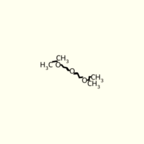 CCC(C)OCCC=COC=CCCOC(C)CC